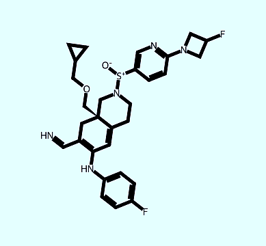 N=CC1=C(Nc2ccc(F)cc2)C=C2CCN([S+]([O-])c3ccc(N4CC(F)C4)nc3)C[C@@]2(COCC2CC2)C1